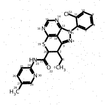 CCC1c2nn(-c3ccccc3Cl)c3ncnc(c23)SC1C(=O)Nc1ccc(C)cn1